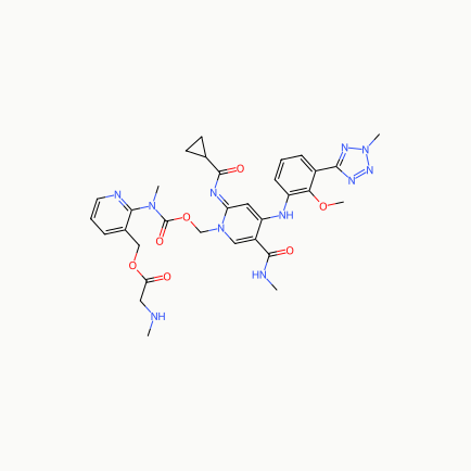 CNCC(=O)OCc1cccnc1N(C)C(=O)OCn1cc(C(=O)NC)c(Nc2cccc(-c3nnn(C)n3)c2OC)c/c1=N\C(=O)C1CC1